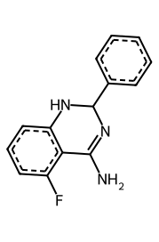 NC1=NC(c2ccccc2)Nc2cccc(F)c21